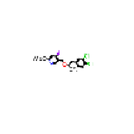 COc1cc(I)c(COC(Cc2ccc(Cl)c(Cl)c2)C(F)(F)F)cn1